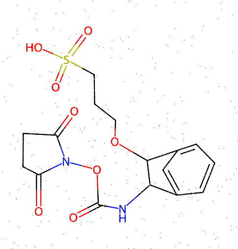 O=C(NC1c2cccc(c2)C1OCCCS(=O)(=O)O)ON1C(=O)CCC1=O